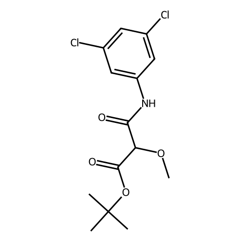 COC(C(=O)Nc1cc(Cl)cc(Cl)c1)C(=O)OC(C)(C)C